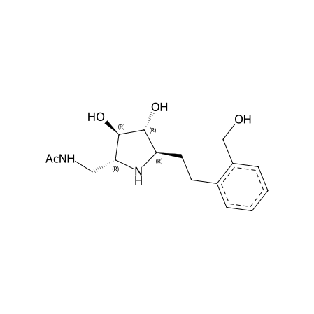 CC(=O)NC[C@H]1N[C@H](CCc2ccccc2CO)[C@@H](O)[C@@H]1O